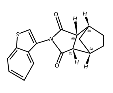 O=C1[C@@H]2[C@@H]3CC[C@@H](C3)[C@@H]2C(=O)N1c1csc2ccccc12